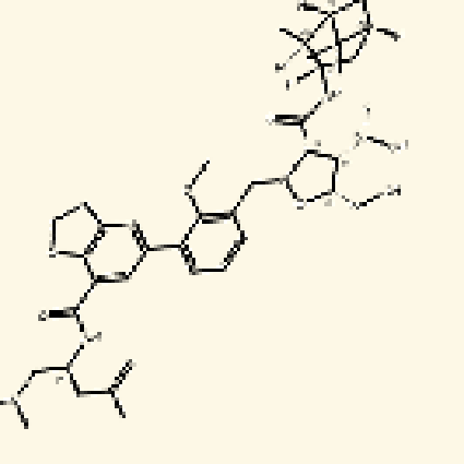 C=C(C)C[C@@H](CN(C)C)NC(=O)c1cc(-c2cccc(CN3O[C@@H](CO)[C@@H]([C@H](C)O)[C@H]3C(=O)N[C@H]3C[C@H]4C[C@@H]([C@@H]3C)C4(C)C)c2OC)cc2c1OCC2